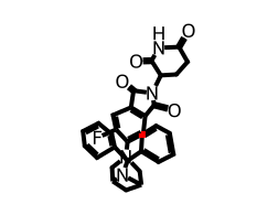 O=C1CCC(N2C(=O)c3cc(F)c(N4CC5CC(C4)N5C(c4ccccc4)c4ccccc4)cc3C2=O)C(=O)N1